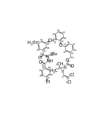 CC1(C)C(C=C(Cl)Cl)C1C(=O)OCc1cccc(Oc2ccccc2)c1.CCc1ccc(C(=O)NN(C(=O)c2cc(C)cc(C)c2)C(C)(C)C)cc1